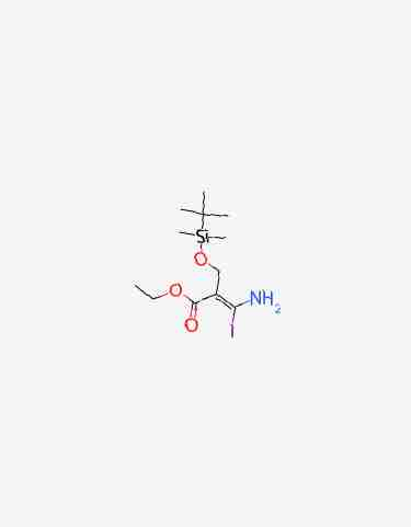 CCOC(=O)/C(CO[Si](C)(C)C(C)(C)C)=C(/N)I